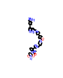 Cn1c(CN2CCC(c3ccc(C(=O)N4CCC(Cn5cc(-c6cccc7c6n(C)c(=O)n7C6CCC(=O)NC6=O)cn5)CC4)cc3)CC2)cc2c(-c3ccc4[nH]ncc4c3)ccnc21